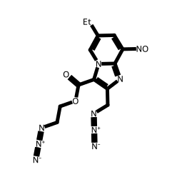 CCc1cc(N=O)c2nc(CN=[N+]=[N-])c(C(=O)OCCN=[N+]=[N-])n2c1